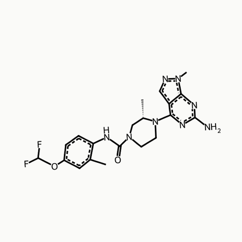 Cc1cc(OC(F)F)ccc1NC(=O)N1CCN(c2nc(N)nc3c2cnn3C)[C@@H](C)C1